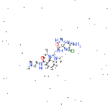 CCn1c(CNC(=O)c2nc(Cl)c(N)nc2N)[n+](CC)c2c(C(=O)NCCN(C)C)cccc21